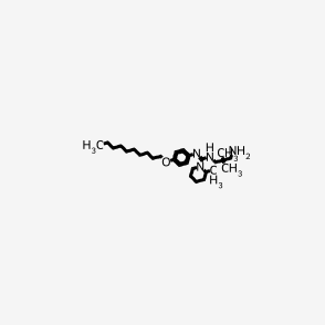 CCCCCCCCCCOc1ccc(/N=C(/NCC(C)(C)CN)N2CCCCC2C)cc1